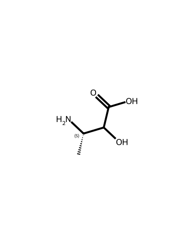 C[C@H](N)C(O)C(=O)O